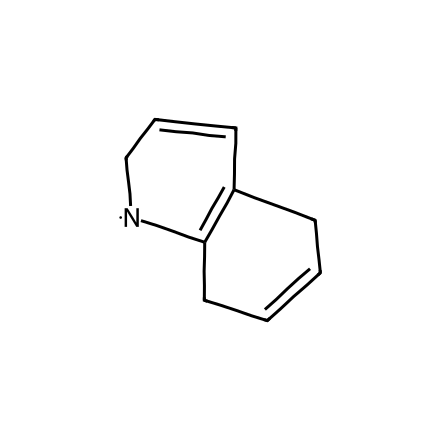 C1=CC2=C(CC=CC2)[N]C1